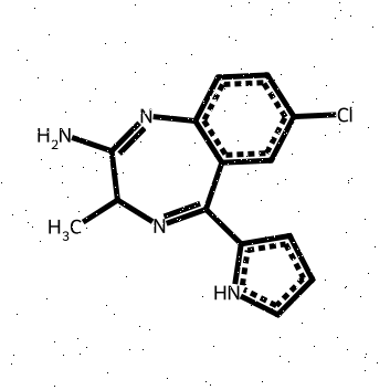 CC1N=C(c2ccc[nH]2)c2cc(Cl)ccc2N=C1N